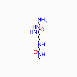 CCNC(=O)CCNCCCCC(NC)C(=O)NCCN